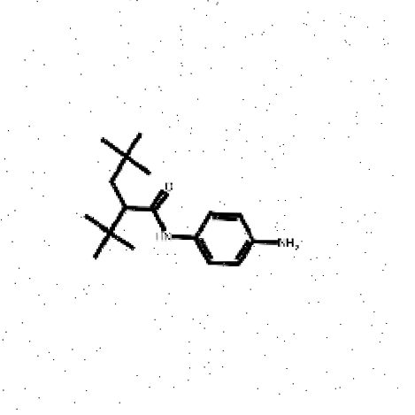 CC(C)(C)CC(C(=O)Nc1ccc(N)cc1)C(C)(C)C